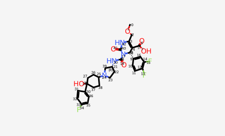 COCC1=C(C(=O)O)[C@H](c2ccc(F)c(F)c2)N(C(=O)N[C@@H]2CCN(C3CCC(O)(c4ccc(F)cc4)CC3)C2)C(=O)N1